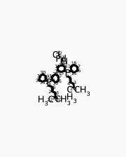 CC(C)CC=CCP(C1CCCCC1)C1CCCCC1.CC(C)CC=CCP(C1CCCCC1)C1CCCCC1.[Cl][Pd][Cl]